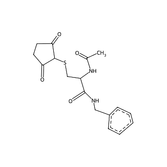 CC(=O)NC(CSC1C(=O)CCC1=O)C(=O)NCc1ccccc1